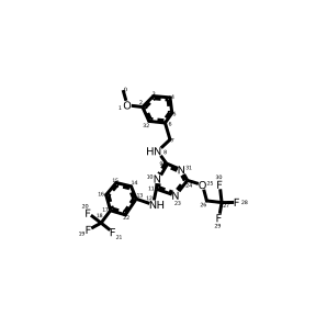 COc1cccc(CNc2nc(Nc3cccc(C(F)(F)F)c3)nc(OCC(F)(F)F)n2)c1